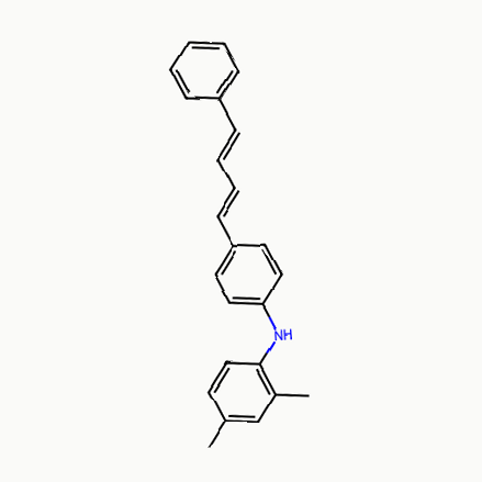 Cc1ccc(Nc2ccc(/C=C/C=C/c3ccccc3)cc2)c(C)c1